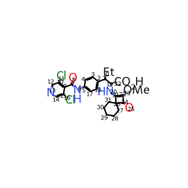 CCC(c1ccc(NC(=O)c2c(Cl)cncc2Cl)cc1)[C@H](NC1=C(OC)C(=O)C12CCCCC2)C(=O)O